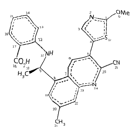 COc1ncc(-c2cc3c([C@@H](C)Nc4ccccc4C(=O)O)cc(C)cc3nc2C#N)s1